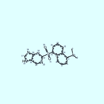 CN(C)c1cccc2c(S(=O)(=O)c3ncc4[nH]cnc4n3)cccc12